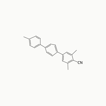 Cc1ccc(-c2ccc(-c3cc(C)c(C#N)c(C)c3)cc2)cc1